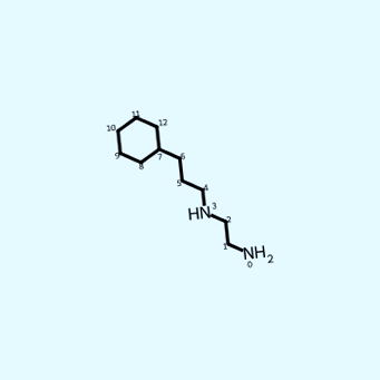 NCCNCCCC1CCCCC1